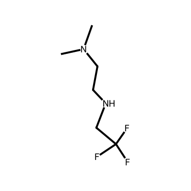 CN(C)CCNCC(F)(F)F